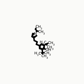 CCC(C)n1ccc(CCCc2cc(C(C)(C)C)c(O)c(C(C)(C)C)c2)c1